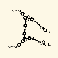 C=CC(=O)OCCCCCCOc1ccc(C(=O)OC2(C#Cc3ccc(C#Cc4ccc(C#CC5(OC(=O)c6ccc(OCCCCCCOC(=O)C=C)cc6)CCC(C6CCC(CCCCC)CC6)CC5)cc4)cc3)CCC(C3CCC(CCCCC)CC3)CC2)cc1